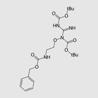 CC(C)(C)OC(=O)NC(=N)N(OCCNC(=O)OCc1ccccc1)C(=O)OC(C)(C)C